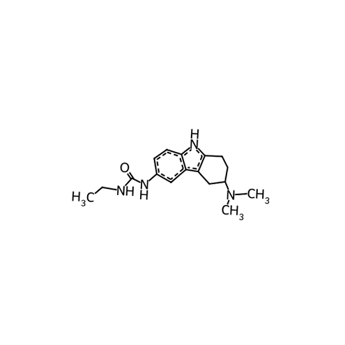 CCNC(=O)Nc1ccc2[nH]c3c(c2c1)CC(N(C)C)CC3